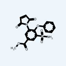 COC(=O)c1cc(N2C(=O)C=CC2=O)c(Oc2ccccc2)c(S(N)(=O)=O)c1